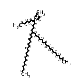 CCCCCCCCCCCCCCCCCCC(CCCCCCCCCCCCCCCCCC)CCCCC(CCCCCC)[n+]1ccn(C)c1